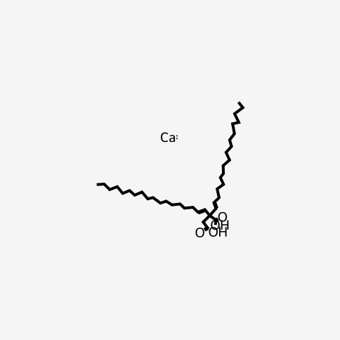 CCCCCCCCCCCCCCCCC=CC(C=CCCCCCCCCCCCCCCCC)(CC(=O)O)C(=O)O.[Ca]